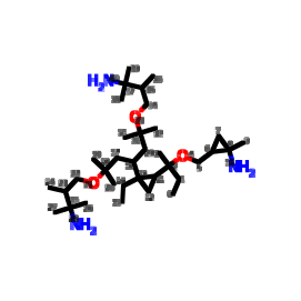 CCC(C)(OCC1CC1(C)N)C1CC1(CC)C(CC(C)(C)OCC(C)C(C)(C)N)CC(C)(C)OCC(C)C(C)(C)N